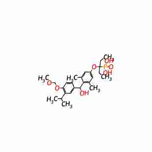 CCC(CC)(Oc1cc(C)c(C(O)c2ccc(OCOC)c(C(C)C)c2)c(C)c1)P(=O)(O)O